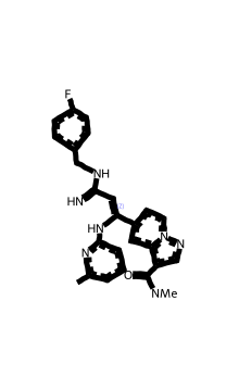 CNC(=O)c1cnn2ccc(/C(=C/C(=N)NCc3ccc(F)cc3)Nc3cccc(C)n3)cc12